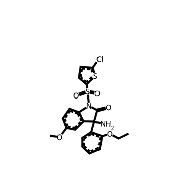 CCOc1ccccc1C1(N)C(=O)N(S(=O)(=O)c2ccc(Cl)s2)c2ccc(OC)cc21